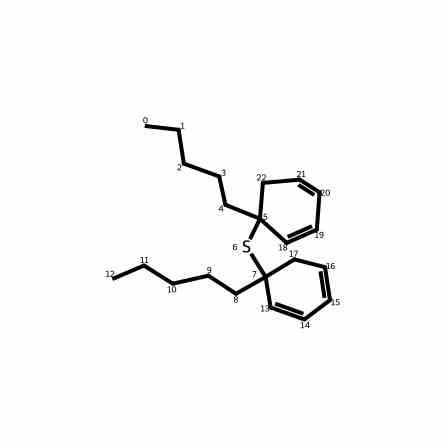 CCCCCC1(SC2(CCCCC)C=CC=CC2)C=CC=CC1